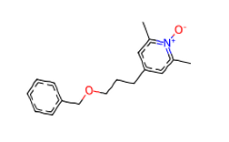 Cc1cc(CCCOCc2ccccc2)cc(C)[n+]1[O-]